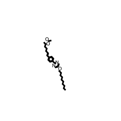 CCCCCCCCCCOc1cnc(-c2ccc(/C=C/CCCC(C)OC(C)=O)cc2)nc1